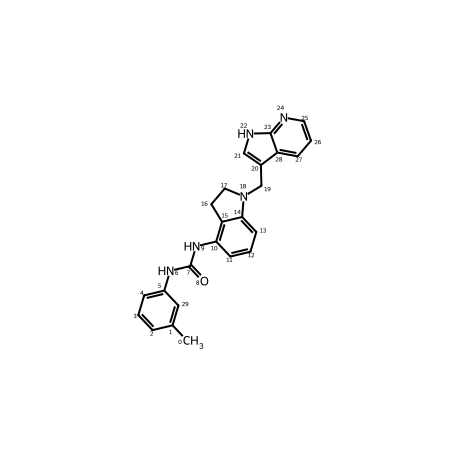 Cc1cccc(NC(=O)Nc2cccc3c2CCN3Cc2c[nH]c3ncccc23)c1